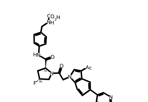 CC(=O)c1cn(CC(=O)N2C[C@H](F)C[C@H]2C(=O)Nc2ccc(CNC(=O)O)cc2)c2ccc(-c3ccnnc3)cc12